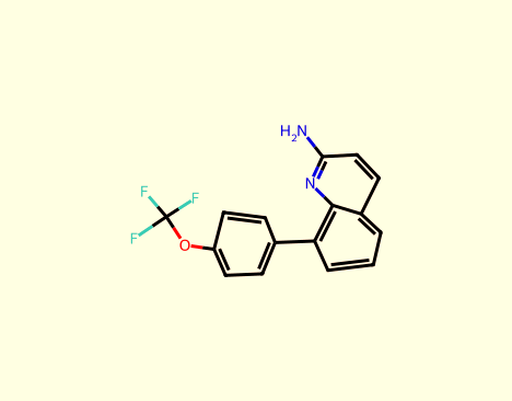 Nc1ccc2cccc(-c3ccc(OC(F)(F)F)cc3)c2n1